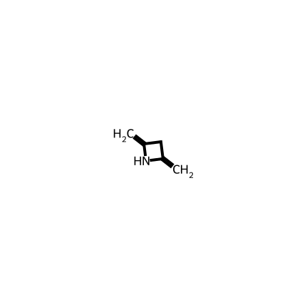 C=C1CC(=C)N1